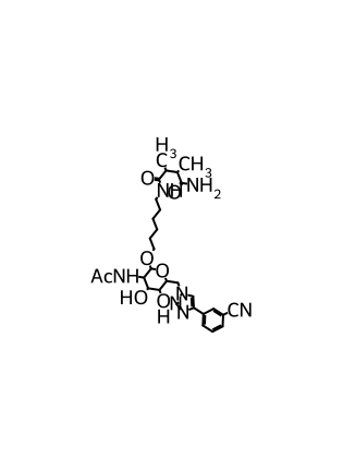 CC(=O)NC1C(OCCCCCCNC(=O)C(C)C(C)C(N)=O)OC(Cn2cc(-c3cccc(C#N)c3)nn2)C(O)C1O